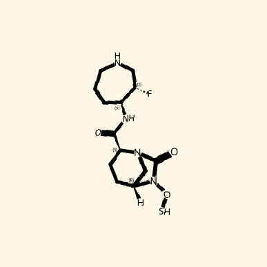 O=C(N[C@H]1CCCNC[C@@H]1F)[C@@H]1CC[C@@H]2CN1C(=O)N2OS